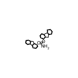 NP(Oc1cccc2c1Cc1ccccc1-2)Oc1cccc2c1Cc1ccccc1-2